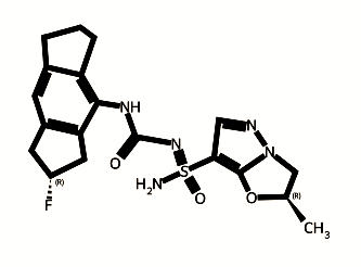 C[C@@H]1Cn2ncc(S(N)(=O)=NC(=O)Nc3c4c(cc5c3C[C@H](F)C5)CCC4)c2O1